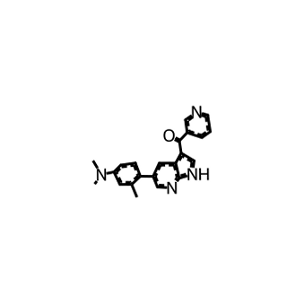 Cc1cc(N(C)C)ccc1-c1cnc2[nH]cc(C(=O)c3cccnc3)c2c1